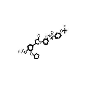 COc1ccc(C2CC(=O)N(c3cccc(NS(=O)(=O)c4cccc(OC(F)(F)F)c4)c3)C2)cc1OC1CCCC1